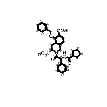 COc1ccc2c(c1OCc1ccccc1)C[C@H](C(=O)O)N(C(=O)[C@@H](NC(=O)C1CCCC1)c1ccccc1)C2